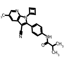 Cc1cnc2c(c1)c(C#N)c(-c1ccc(NC(=O)C(C)C)cc1)n2C1=CC=C1